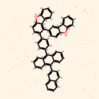 c1ccc2cc(-c3c4ccccc4c(-c4ccc(-c5ccc6oc7ccccc7c6c5-c5ccc6oc7ccccc7c6c5)cc4)c4ccccc34)ccc2c1